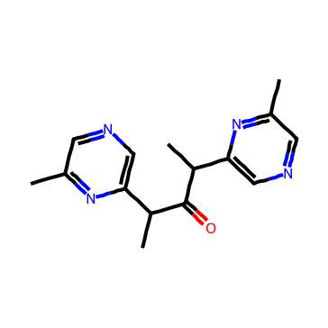 Cc1cncc(C(C)C(=O)C(C)c2cncc(C)n2)n1